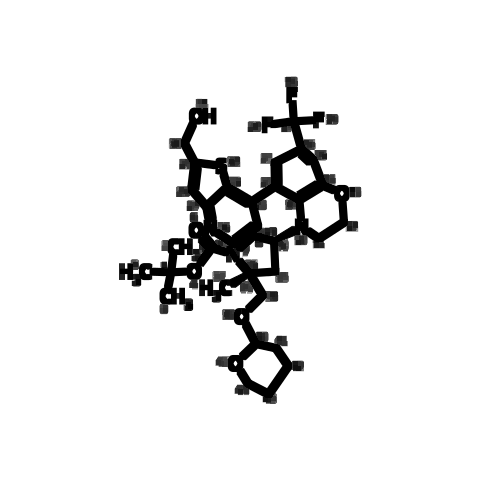 CC(C)(C)OC(=O)N1C[C@@H](N2CCOc3cc(C(F)(F)F)cc(-c4ccnc5cc(CO)sc45)c32)C[C@]1(C)COC1CCCCO1